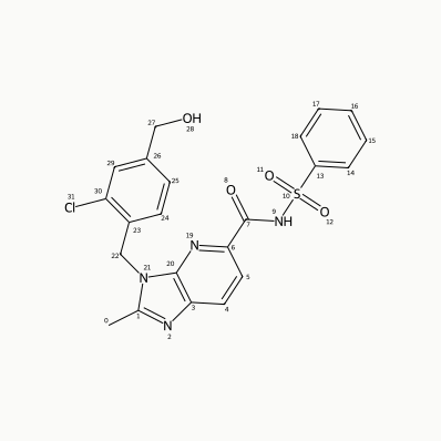 Cc1nc2ccc(C(=O)NS(=O)(=O)c3ccccc3)nc2n1Cc1ccc(CO)cc1Cl